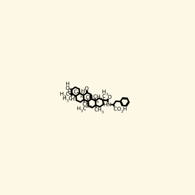 C[C@H]1C[C@@]2(C)CC[C@](C)(C(=O)NC(Cc3ccccc3)C(=O)O)C[C@@]2(C)C2=CC(=O)[C@@H]3[C@@]4(C)CC[C@H](O)C(C)(C)[C@@H]4CC[C@@]3(C)[C@@]21C